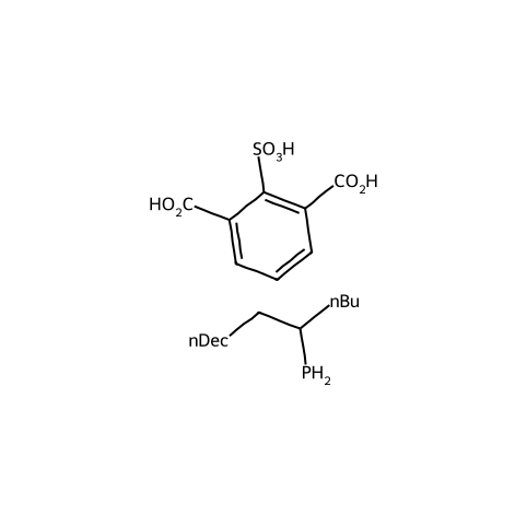 CCCCCCCCCCCC(P)CCCC.O=C(O)c1cccc(C(=O)O)c1S(=O)(=O)O